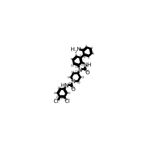 Nc1ccccc1-c1cccc2c1[nH]c(=O)n2C1CCN(C(=O)Nc2ccc(Cl)c(Cl)c2)CC1